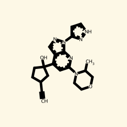 C#CC1CCC(O)(c2cc(N3CCOCC3C)nc3c2cnn3-c2cc[nH]n2)C1